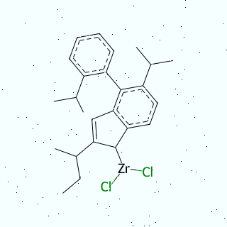 CCC(C)C1=Cc2c(ccc(C(C)C)c2-c2ccccc2C(C)C)[CH]1[Zr]([Cl])[Cl]